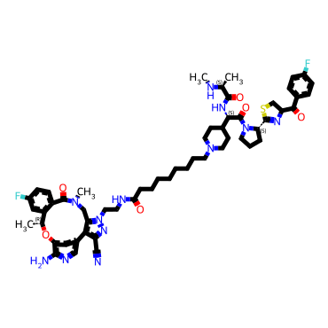 CN[C@@H](C)C(=O)N[C@H](C(=O)N1CCC[C@H]1C1=NC(C(=O)c2ccc(F)cc2)CS1)C1CCN(CCCCCCCCC(=O)NCCn2nc(C#N)c3c2CN(C)C(=O)c2ccc(F)cc2[C@@H](C)Oc2cc-3cnc2N)CC1